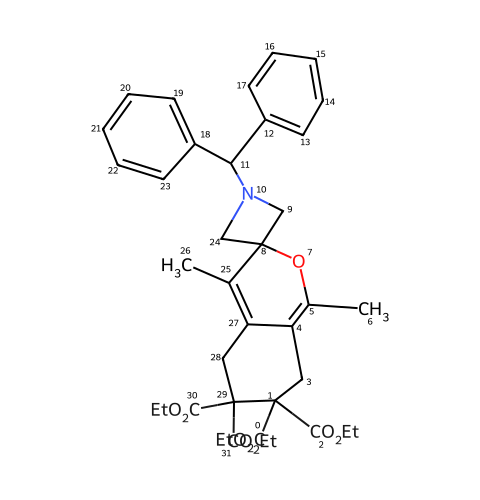 CCOC(=O)C1(C(=O)OCC)CC2=C(C)OC3(CN(C(c4ccccc4)c4ccccc4)C3)C(C)=C2CC1(C(=O)OCC)C(=O)OCC